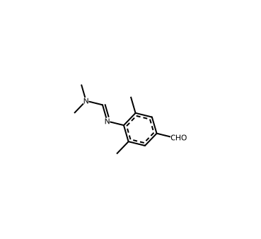 Cc1cc(C=O)cc(C)c1/N=C/N(C)C